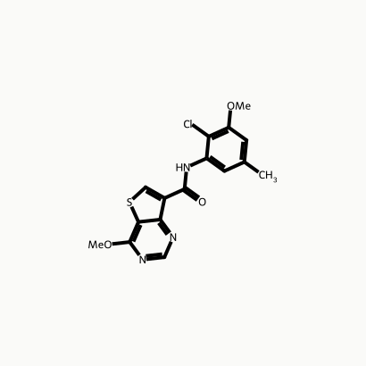 COc1cc(C)cc(NC(=O)c2csc3c(OC)ncnc23)c1Cl